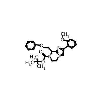 COc1ccccc1-c1cn2c(n1)C(CCOc1ccccc1)N(C(=O)OC(C)(C)C)CC2